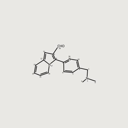 CN(C)Cc1ccc(-c2c(C=O)cc3ccccn23)nc1